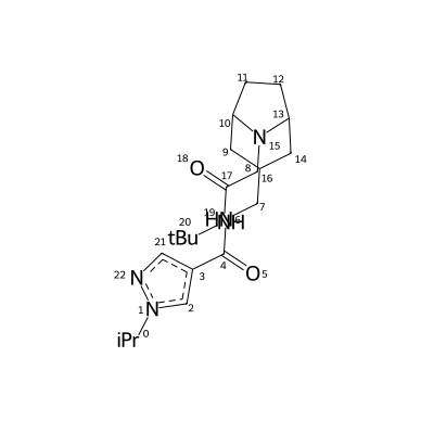 CC(C)n1cc(C(=O)NCC2CC3CCC(C2)N3CC(=O)NC(C)(C)C)cn1